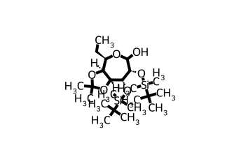 CC[C@H]1OC(O)[C@H](O[Si](C)(C)C(C)(C)C)[C@H](O[Si](C)(C)C(C)(C)C)[C@H]2OC(C)(C)O[C@H]21